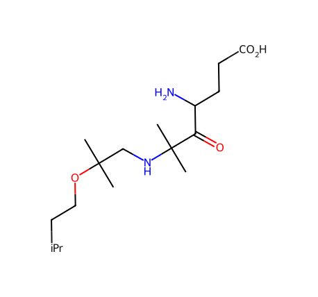 CC(C)CCOC(C)(C)CNC(C)(C)C(=O)C(N)CCC(=O)O